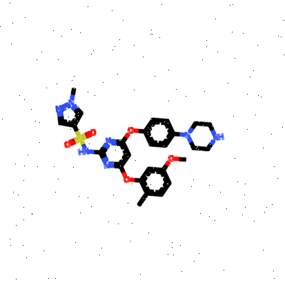 COc1ccc(C)c(Oc2cc(Oc3ccc(N4CCNCC4)cc3)nc(NS(=O)(=O)c3cnn(C)c3)n2)c1